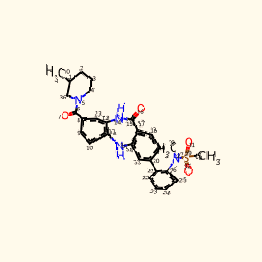 CC1CCCN(C(=O)c2ccc3c(c2)NC(=O)c2ccc(-c4ccccc4N(C)S(C)(=O)=O)cc2N3)C1